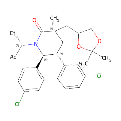 CC[C@@H](C(C)=O)N1C(=O)[C@@](C)(CC2COC(C)(C)O2)C[C@H](c2cccc(Cl)c2)[C@H]1c1ccc(Cl)cc1